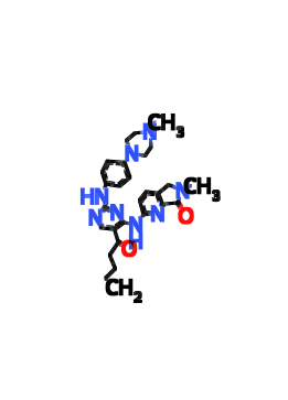 C=CCCC(=O)c1cnc(Nc2ccc(N3CCN(C)CC3)cc2)nc1Nc1ccc2c(n1)C(=O)N(C)C2